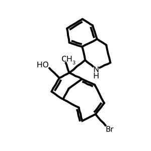 CC1(C2NCCc3ccccc32)C(O)=CC2/C=C/C(Br)=C\C=C\1C2